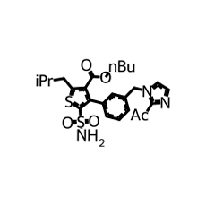 CCCCOC(=O)c1c(CC(C)C)sc(S(N)(=O)=O)c1-c1cccc(Cn2ccnc2C(C)=O)c1